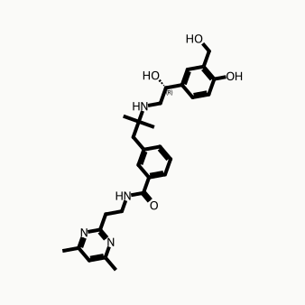 Cc1cc(C)nc(CCNC(=O)c2cccc(CC(C)(C)NC[C@H](O)c3ccc(O)c(CO)c3)c2)n1